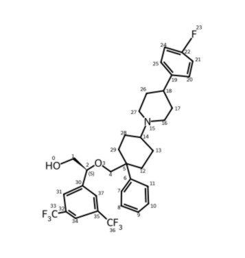 OC[C@@H](OCC1(c2ccccc2)CCC(N2CCC(c3ccc(F)cc3)CC2)CC1)c1cc(C(F)(F)F)cc(C(F)(F)F)c1